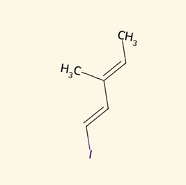 C/C=C(C)/C=C/I